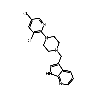 Clc1cnc(N2CCN(Cc3c[nH]c4ncccc34)CC2)c(Cl)c1